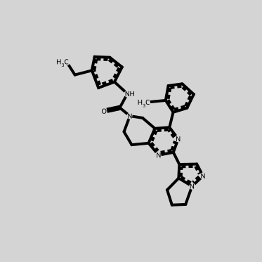 CCc1cccc(NC(=O)N2CCc3nc(-c4cnn5c4CCC5)nc(-c4ccccc4C)c3C2)c1